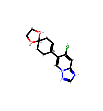 Clc1cc2ncnn2cc1C1=CCC2(CC1)OCCO2